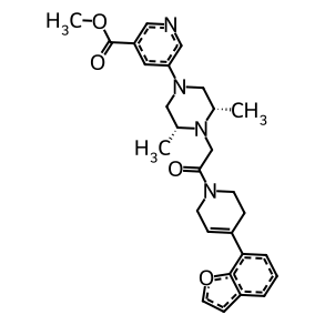 COC(=O)c1cncc(N2C[C@@H](C)N(CC(=O)N3CC=C(c4cccc5ccoc45)CC3)[C@@H](C)C2)c1